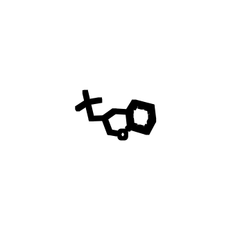 CC(C)(C)CC1COc2ccccc2C1